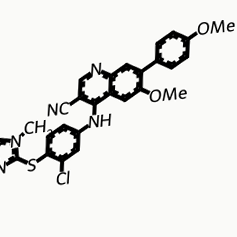 COc1ccc(-c2cc3ncc(C#N)c(Nc4ccc(Sc5nccn5C)c(Cl)c4)c3cc2OC)cc1